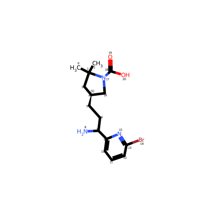 CC1(C)C[C@H](CCC(N)c2cccc(Br)n2)CN1C(=O)O